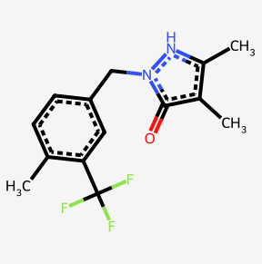 Cc1ccc(Cn2[nH]c(C)c(C)c2=O)cc1C(F)(F)F